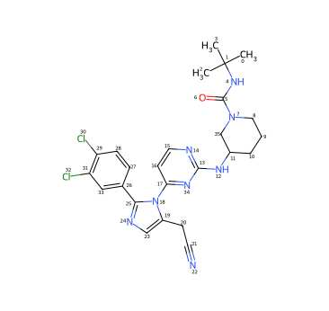 CC(C)(C)NC(=O)N1CCCC(Nc2nccc(-n3c(CC#N)cnc3-c3ccc(Cl)c(Cl)c3)n2)C1